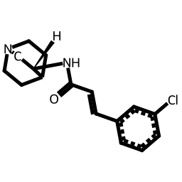 O=C(/C=C/c1cccc(Cl)c1)N[C@H]1CN2CCC1CC2